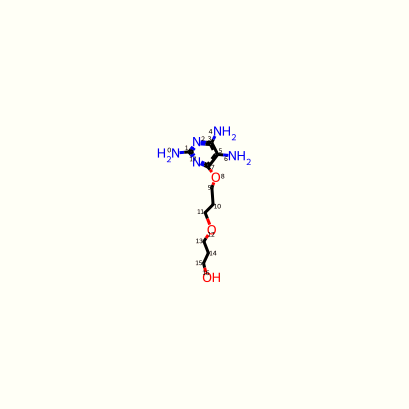 Nc1nc(N)c(N)c(OCCCOCCCO)n1